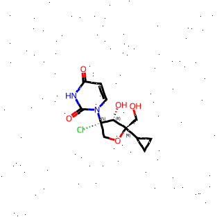 O=c1ccn([C@]2(Cl)CO[C@@](CO)(C3CC3)[C@H]2O)c(=O)[nH]1